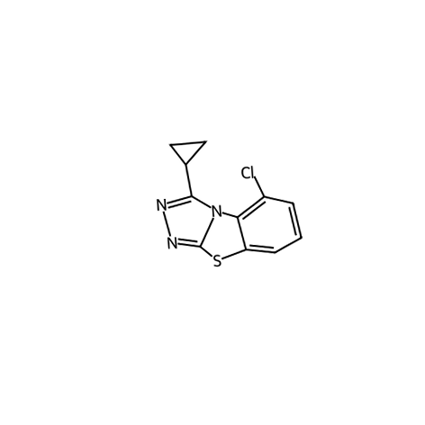 Clc1cccc2sc3nnc(C4CC4)n3c12